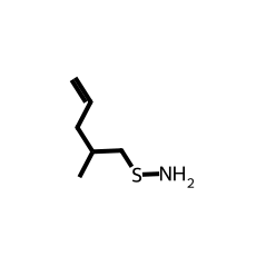 C=CCC(C)CSN